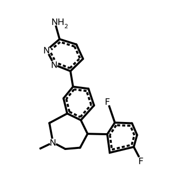 CN1CCC(c2cc(F)ccc2F)c2ccc(-c3ccc(N)nn3)cc2C1